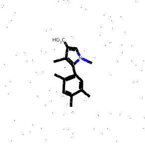 Cc1cc(C)c(-c2c(C)c(C(=O)O)cn2C)cc1C